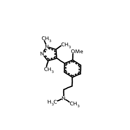 COc1ccc(CCN(C)C)cc1-c1c(C)nn(C)c1C